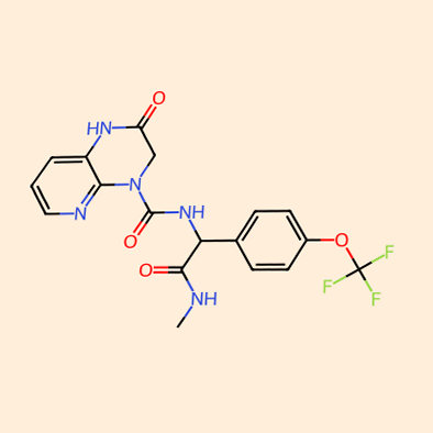 CNC(=O)C(NC(=O)N1CC(=O)Nc2cccnc21)c1ccc(OC(F)(F)F)cc1